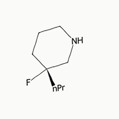 CCC[C@@]1(F)CCCNC1